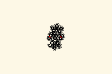 c1ccc(N2c3cc4ccccc4c4c3[SiH]3c5c(cc6ccccc6c5N4c4ccccc4)N(c4ccccc4)c4c3c2cc2c3c5c(cc42)N(c2ccccc2)c2cc4ccccc4c4c2[SiH]5c2c(cc5ccccc5c2N4c2ccccc2)N3c2ccccc2)cc1